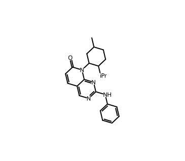 CC1CCC(C(C)C)C(n2c(=O)ccc3cnc(Nc4ccccc4)nc32)C1